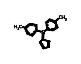 Cc1ccc([Si](=C2[C]=CC=C2)c2ccc(C)cc2)cc1